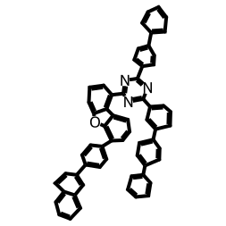 c1ccc(-c2ccc(-c3cccc(-c4nc(-c5ccc(-c6ccccc6)cc5)nc(-c5cccc6oc7c(-c8ccc(-c9ccc%10ccccc%10c9)cc8)cccc7c56)n4)c3)cc2)cc1